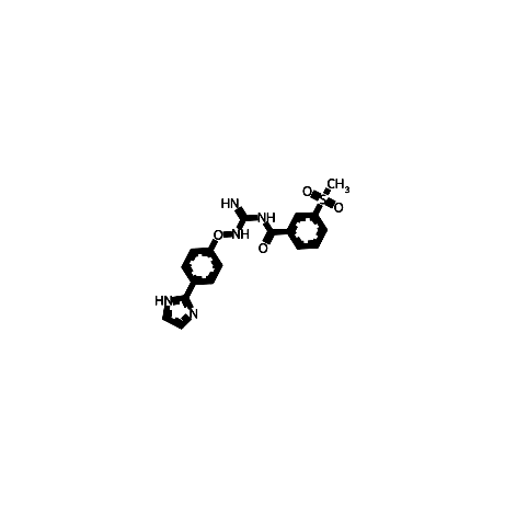 CS(=O)(=O)c1cccc(C(=O)NC(=N)NOc2ccc(-c3ncc[nH]3)cc2)c1